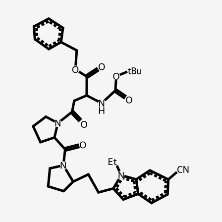 CCn1c(CCC2CCCN2C(=O)C2CCCN2C(=O)CC(NC(=O)OC(C)(C)C)C(=O)OCc2ccccc2)cc2ccc(C#N)cc21